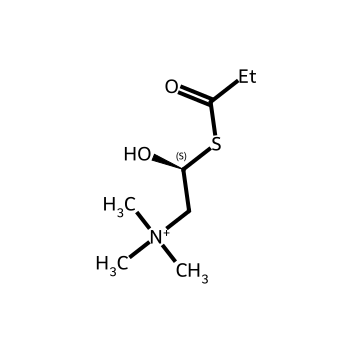 CCC(=O)S[C@H](O)C[N+](C)(C)C